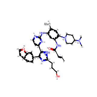 C/C=C/C(=O)Nc1cc(Nc2nccc(-c3[nH]c(CCCO)nc3-c3ccc4ccoc4c3)n2)c(OC)cc1N1CCC(N(C)C)CC1